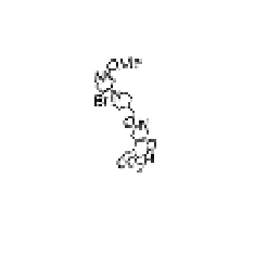 COc1cc(N2CCC(COc3cc4c(cn3)OCCC4CC(=O)O)CC2)c(Br)cn1